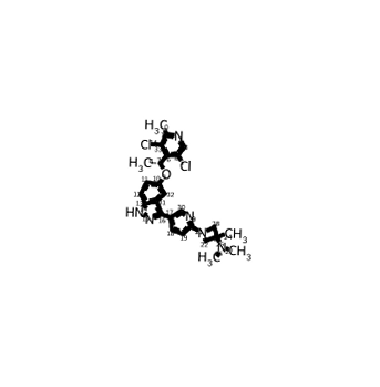 Cc1ncc(Cl)c([C@@H](C)Oc2ccc3[nH]nc(-c4ccc(N5CC(C)(N(C)C)C5)nc4)c3c2)c1Cl